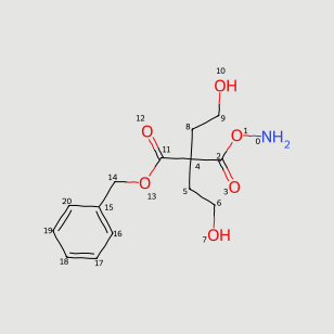 NOC(=O)C(CCO)(CCO)C(=O)OCc1ccccc1